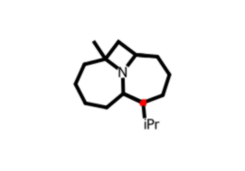 CC(C)CC12CCCCC3(C)CC(C)(CCCC1)N32